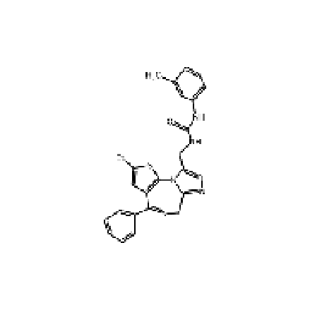 CCc1cc2c(s1)-n1c(nnc1CNC(=O)Nc1cccc(C)c1)CN=C2c1ccccc1